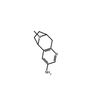 CN1C2CCC1c1cc(N)cnc1C2